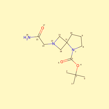 CC(C)(C)OC(=O)N1CCCC12CN(CC(N)=O)C2